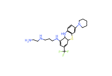 NCCNCCCNC1=CC(C(F)(F)F)=CC2Sc3cc(N4CCCCC4)ccc3NC12